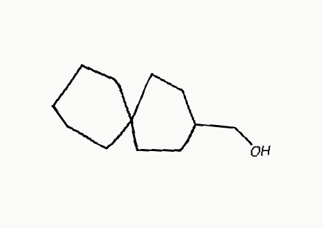 OCC1CCC2(CCCCC2)CC1